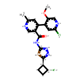 COc1cnc(Cl)cc1-c1cc(C)ncc1C(=O)Nc1nnc([C@@H]2CC[C@H]2F)s1